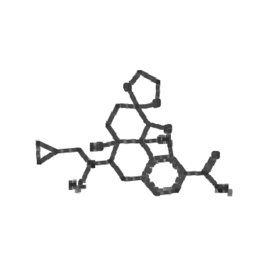 CN(CC1CC1)C1Cc2ccc(C(N)=O)c3c2C2(C)C(O3)C3(CCC12O)OCCO3